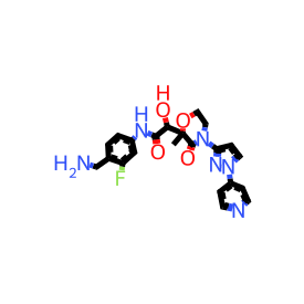 CC1(C(O)C(=O)Nc2ccc(CN)c(F)c2)OCCN(c2ccn(-c3ccncc3)n2)C1=O